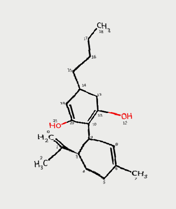 C=C(C)[C@@H]1CCC(C)=CC1C1=C(O)CC(CCCC)C=C1O